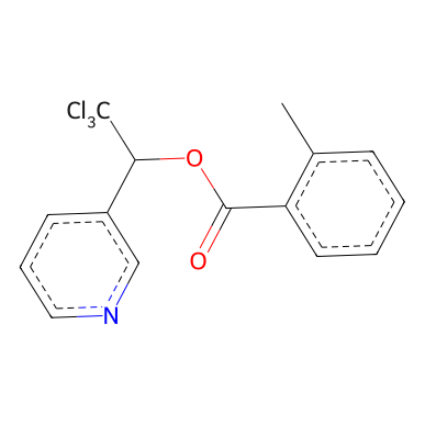 Cc1ccccc1C(=O)OC(c1cccnc1)C(Cl)(Cl)Cl